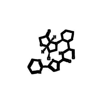 O=CC(NC(=O)c1ccc(-c2ncccn2)s1)C1CCCC[C@@H]1N1C[C@H](Cl)[C@H]2OCC(=O)[C@H]21